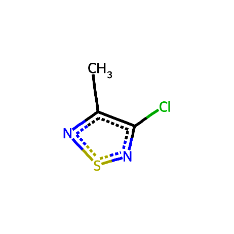 Cc1nsnc1Cl